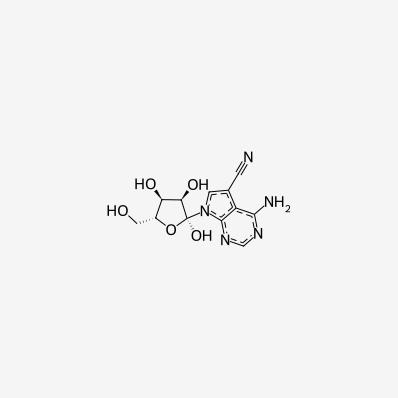 N#Cc1cn([C@@]2(O)O[C@H](CO)[C@@H](O)[C@H]2O)c2ncnc(N)c12